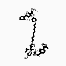 Cc1ncsc1-c1ccc([C@H](C)NC(=O)[C@@H]2C[C@@H](O)CN2C(=O)[C@H](c2cc(OCCCCCCCCCN3CCC(n4nc(N)c5nnc(-c6ccccc6O)cc54)CC3)no2)C(C)C)cc1